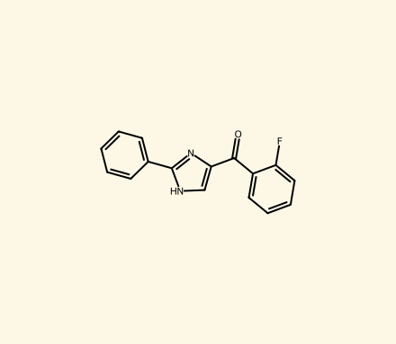 O=C(c1c[nH]c(-c2ccccc2)n1)c1ccccc1F